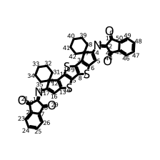 O=c1c(=NC2=Cc3sc4c(sc5c6c(sc54)C=C(N=c4c(=O)c5ccccc5c4=O)C64CCCCC4)c3C23CCCCC3)c(=O)c2ccccc12